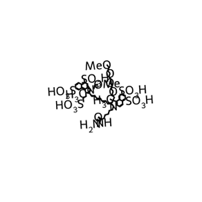 COCCOCCOCCOCCC1(C)\C(=C/C=C/C=C/C=C/C2=[N+](CCOC)c3cc(S(=O)(=O)O)c4ccc(S(=O)(=O)O)cc4c3C2(C)CCCS(=O)(=O)O)N(CCCCCC(=O)NN)c2ccc3c(S(=O)(=O)O)cc(S(=O)(=O)O)cc3c21